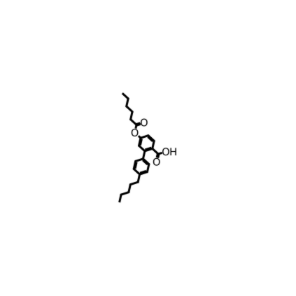 CCCCCC(=O)Oc1ccc(C(=O)O)c(-c2ccc(CCCCC)cc2)c1